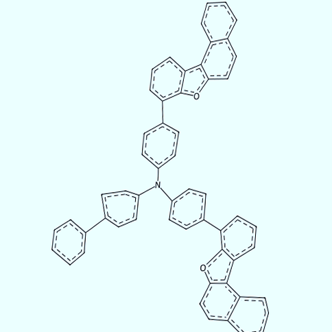 c1ccc(-c2ccc(N(c3ccc(-c4cccc5c4oc4ccc6ccccc6c45)cc3)c3ccc(-c4cccc5c4oc4ccc6ccccc6c45)cc3)cc2)cc1